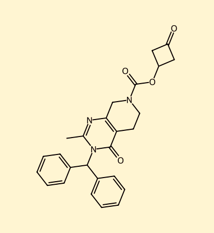 Cc1nc2c(c(=O)n1C(c1ccccc1)c1ccccc1)CCN(C(=O)OC1CC(=O)C1)C2